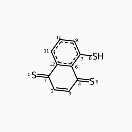 S=C1C=CC(=S)c2c(S)cccc21